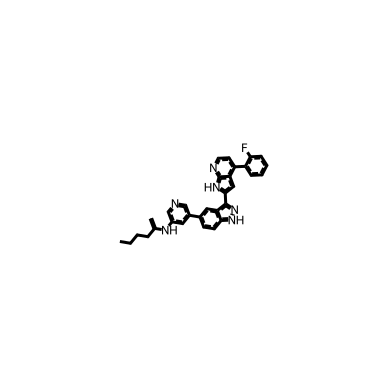 C=C(CCCC)Nc1cncc(-c2ccc3[nH]nc(-c4cc5c(-c6ccccc6F)ccnc5[nH]4)c3c2)c1